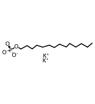 CCCCCCCCCCCCCCOP(=O)([O-])[O-].[K+].[K+]